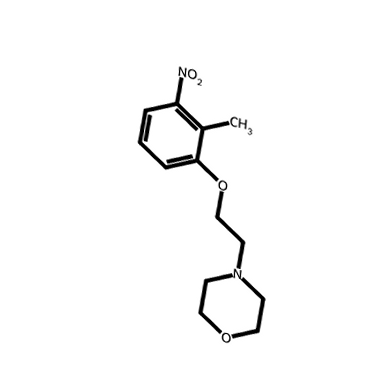 Cc1c(OCCN2CCOCC2)cccc1[N+](=O)[O-]